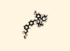 CCOC(=O)Cc1cccc(-c2ccc(CN(CC[C@@]3(c4ccc(OC)cc4)CCOC(C)(C)C3)CC(C)(C)C(F)(F)F)cc2)c1